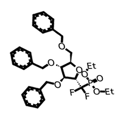 CCOP(=O)(OCC)C(F)(F)[C@H]1O[C@H](COCc2ccccc2)[C@@H](OCc2ccccc2)[C@@H]1OCc1ccccc1